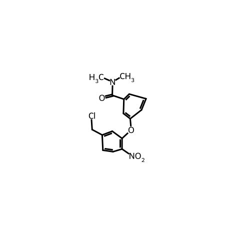 CN(C)C(=O)c1cccc(Oc2cc(CCl)ccc2[N+](=O)[O-])c1